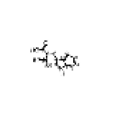 O=C(O)C(Cc1c[nH]c2ccccc12)N(Br)Br